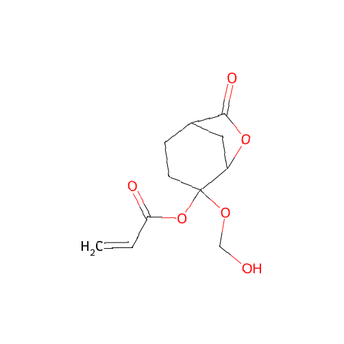 C=CC(=O)OC1(OCO)CCC2CC1OC2=O